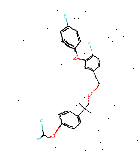 CC(C)(COCc1ccc(F)c(Oc2ccc(F)cc2)c1)c1ccc(OC(F)F)cc1